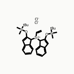 C=[CH][Zr+2]([CH]1C(O[Si](C)(C)C(C)(C)C)=Cc2ccccc21)[CH]1C(O[Si](C)(C)C(C)(C)C)=Cc2ccccc21.[Cl-].[Cl-]